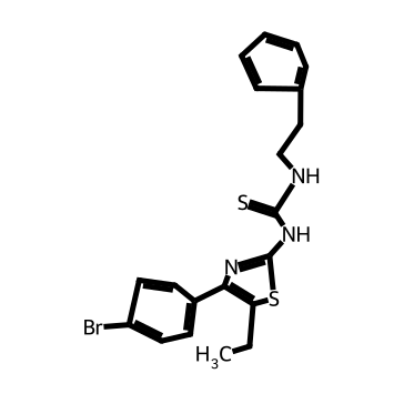 CCc1sc(NC(=S)NCCc2ccccc2)nc1-c1ccc(Br)cc1